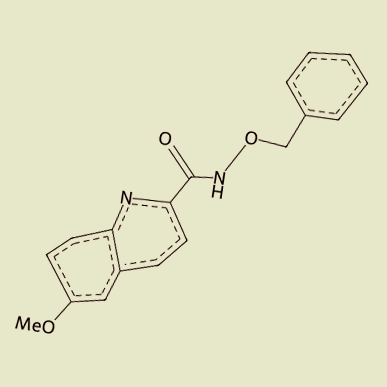 COc1ccc2nc(C(=O)NOCc3ccccc3)ccc2c1